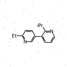 CCc1ccc(-c2cccnc2C(C)C)cn1